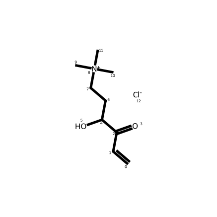 C=CC(=O)C(O)CC[N+](C)(C)C.[Cl-]